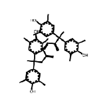 C=C(/C=C\C(=C)C(C)(c1cc(C)c(O)c(C)c1)c1cc(C)c(O)c(C)c1)CC(C)(c1cc(C)c(O)c(C)c1)c1cc(C)c(O)c(C)c1